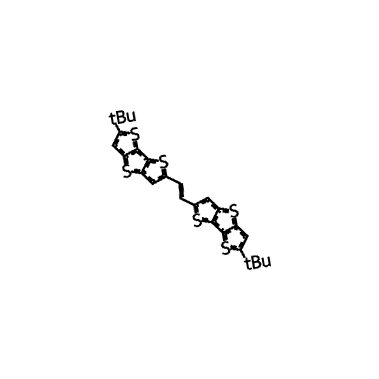 CC(C)(C)c1cc2sc3cc(/C=C/c4cc5sc6cc(C(C)(C)C)sc6c5s4)sc3c2s1